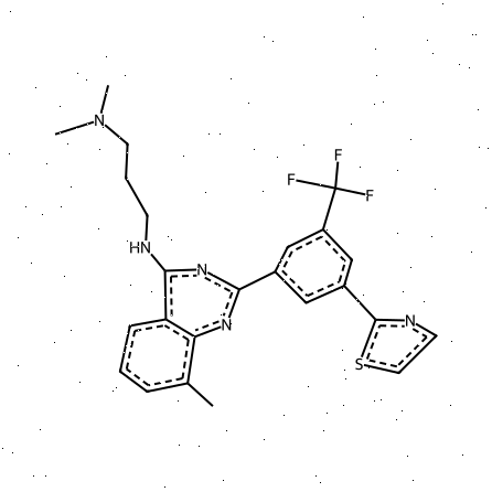 Cc1cccc2c(NCCCN(C)C)nc(-c3cc(-c4nccs4)cc(C(F)(F)F)c3)nc12